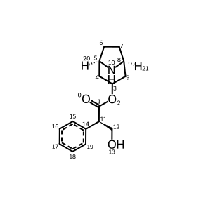 O=C(OC1C[C@H]2CC[C@@H](C1)N2)[C@@H](CO)c1ccccc1